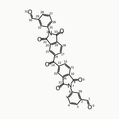 O=Cc1cccc(N2C(=O)c3ccc(C(=O)c4ccc5c(c4)C(=O)N(c4cccc(C=O)c4)C5=O)cc3C2=O)c1